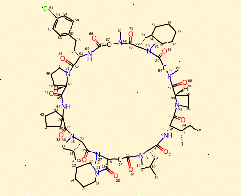 CC[C@H](C)[C@@H]1NC(=O)[C@H](CC(C)C)N(C)C(=O)C[C@@H](C(=O)N2CCCCC2)N(C)C(=O)[C@H](C(C)C)N(C)C(=O)C2(CCCC2)NC(=O)[C@@H]2CCCN2C(=O)[C@H](CCc2ccc(Cl)cc2)NC(=O)CN(C)C(=O)[C@H](CC2CCCCC2)N(C)C(=O)CN(C)C(=O)[C@@H]2CCN2C1=O